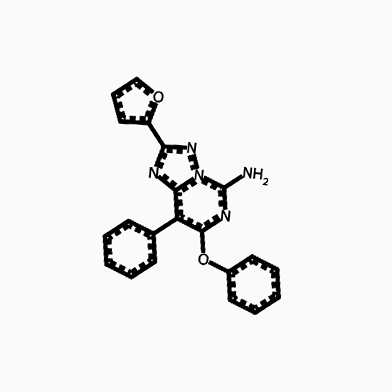 Nc1nc(Oc2ccccc2)c(-c2ccccc2)c2nc(-c3ccco3)nn12